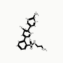 CCCNS(=O)(=O)c1ccccc1-c1cnc(-c2cnc(N)nc2)c(F)c1